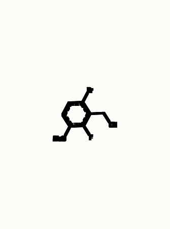 COc1ccc(Br)c(CC#N)c1F